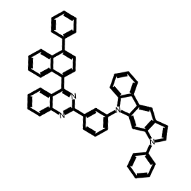 c1ccc(-c2ccc(-c3nc(-c4cccc(-n5c6ccccc6c6cc7ccn(-c8ccccc8)c7cc65)c4)nc4ccccc34)c3ccccc23)cc1